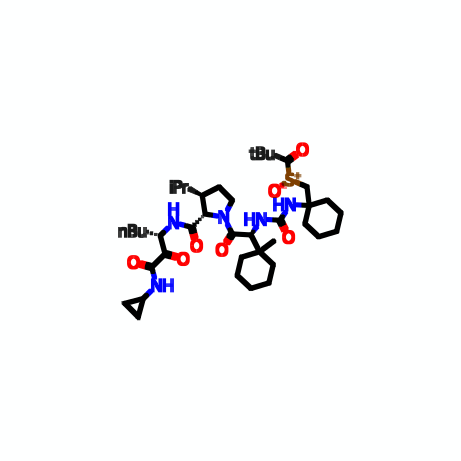 CCCC[C@H](NC(=O)[C@@H]1[C@@H](C(C)C)CCN1C(=O)[C@@H](NC(=O)NC1(C[S+]([O-])C(=O)C(C)(C)C)CCCCC1)C1(C)CCCCC1)C(=O)C(=O)NC1CC1